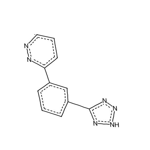 [c]1ccc(-c2cccc(-c3nn[nH]n3)c2)nn1